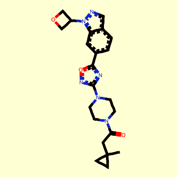 CC1(CC(=O)N2CCN(c3noc(-c4ccc5cnn(C6COC6)c5c4)n3)CC2)CC1